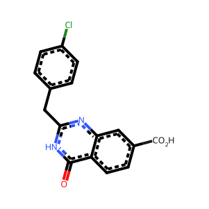 O=C(O)c1ccc2c(=O)[nH]c(Cc3ccc(Cl)cc3)nc2c1